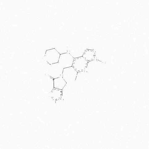 CCn1ncc2c(NC3CCOCC3)c(CN3Cc4nnsc4C3=O)c(C)nc21